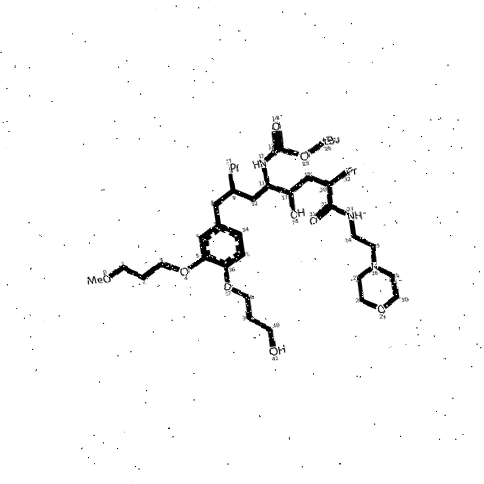 COCCCOc1cc(CC(CC(NC(=O)OC(C)(C)C)C(O)CC(C(=O)NCCN2CCOCC2)C(C)C)C(C)C)ccc1OCCCO